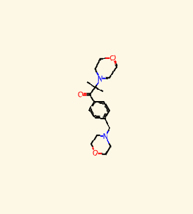 CC(C)(C(=O)c1ccc(CN2CCOCC2)cc1)N1CCOCC1